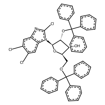 O[C@H]1[C@@H](OC(c2ccccc2)(c2ccccc2)c2ccccc2)[C@H](n2c(Cl)nc3cc(Cl)c(Cl)cc32)O[C@@H]1COC(c1ccccc1)(c1ccccc1)c1ccccc1